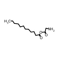 CCCCCCCCCCCC(=O)OC(=O)CN